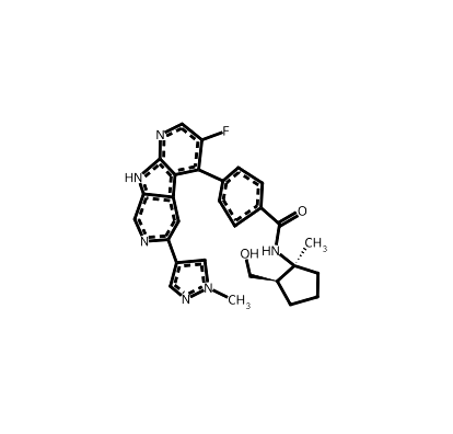 Cn1cc(-c2cc3c(cn2)[nH]c2ncc(F)c(-c4ccc(C(=O)N[C@@]5(C)CCC[C@H]5CO)cc4)c23)cn1